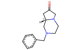 O=C1C[C@H]2CN(Cc3ccccc3)CCN2C1